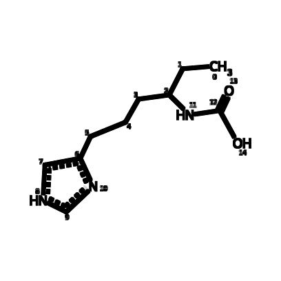 CCC(CCCc1c[nH]cn1)NC(=O)O